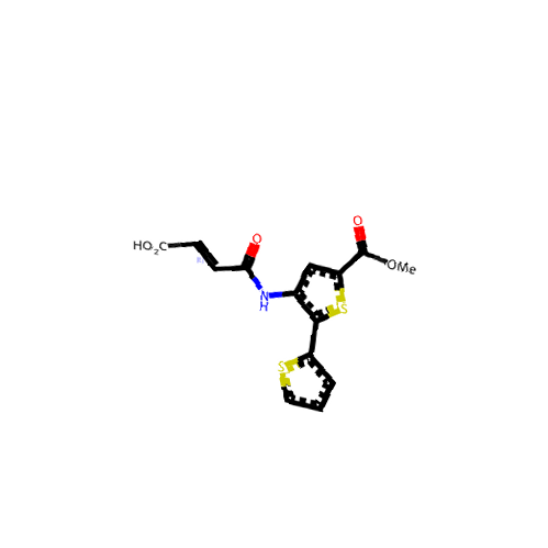 COC(=O)c1cc(NC(=O)/C=C/C(=O)O)c(-c2cccs2)s1